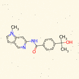 Cn1ccc2cnc(NC(=O)c3ccc(C(C)(C)O)cc3)cc21